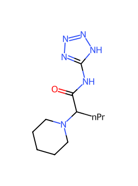 CCCC(C(=O)Nc1nnn[nH]1)N1CCCCC1